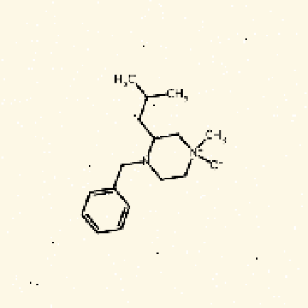 CC(C)CC1C[N+](C)([O-])CCN1Cc1ccccc1